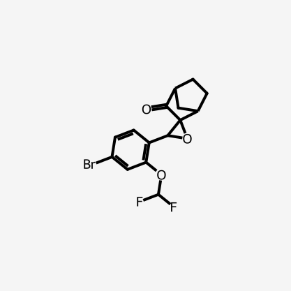 O=C1C2CCC(C2)C12OC2c1ccc(Br)cc1OC(F)F